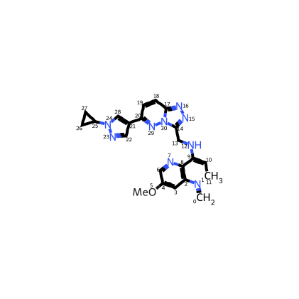 C=Nc1cc(OC)cnc1/C(=C\C)NCc1nnc2ccc(-c3cnn(C4CC4)c3)nn12